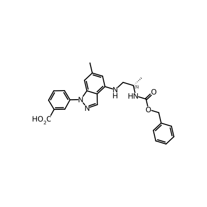 Cc1cc(NC[C@H](C)NC(=O)OCc2ccccc2)c2cnn(-c3cccc(C(=O)O)c3)c2c1